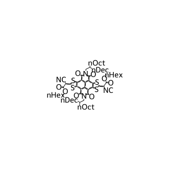 [C-]#[N+]C(C(=O)OCCCCCC)=c1sc2c(s1)c1c(=O)n(CC(CCCCCCCC)CCCCCCCCCC)c(=O)c3c4sc(=C(C#N)C(=O)OCCCCCC)sc4c4c(=O)n(CC(CCCCCCCC)CCCCCCCCCC)c(=O)c2c4c31